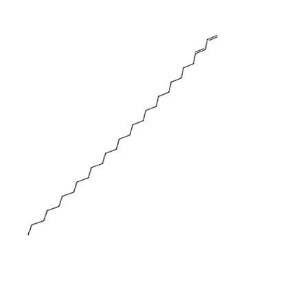 C=C/C=C/CCCCCCCCCCCCCCCCCCCCCCCCC